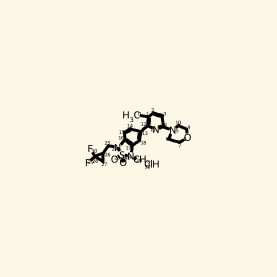 Cc1ccc(N2CCOCC2)nc1-c1ccc2c(c1)N(C)S(=O)(=O)N2CC1CC1(F)F.Cl